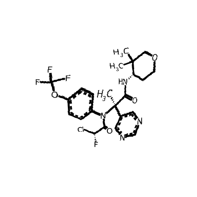 CC1(C)COCC[C@@H]1NC(=O)[C@@](C)(c1cncnc1)N(C(=O)[C@H](F)Cl)c1ccc(OC(F)(F)F)cc1